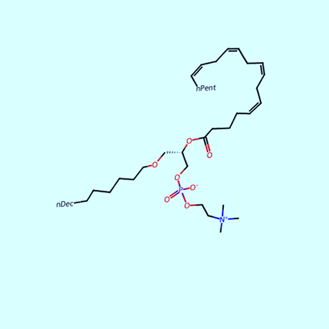 CCCCC/C=C\C/C=C\C/C=C\C/C=C\CCCC(=O)O[C@@H](COCCCCCCCCCCCCCCCC)COP(=O)([O-])OCC[N+](C)(C)C